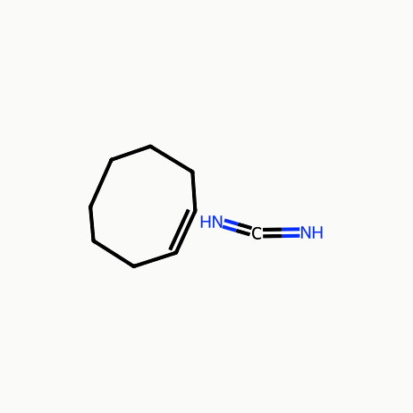 C1=CCCCCCC1.N=C=N